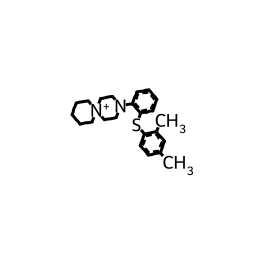 Cc1ccc(Sc2ccccc2N2CC[N+]3(CCCCC3)CC2)c(C)c1